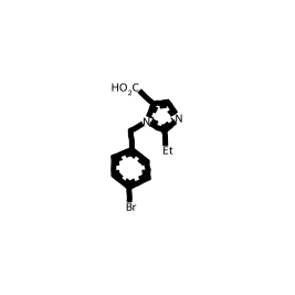 CCc1ncc(C(=O)O)n1Cc1ccc(Br)cc1